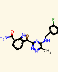 Cc1nnc(-c2snc3c(C(N)=O)cccc23)nc1NCc1cccc(F)c1